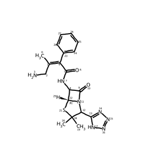 CC(CN)=C(C(=O)NC1C(=O)N2C(c3nnn[nH]3)C(C)(C)S[C@H]12)c1ccccc1